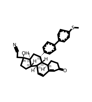 CSc1ccc(-c2ccc([C@H]3C[C@@]4(C)[C@@H](CC[C@@]4(O)CC#N)[C@@H]4C=CC5=CC(=O)CC[C@@H]5[C@H]43)cc2)cc1